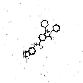 O=C(Nc1ccc2[nH]nnc2c1)c1ccc2c(c1)c(=O)n(-c1ccccc1)n2C1CCCCC1